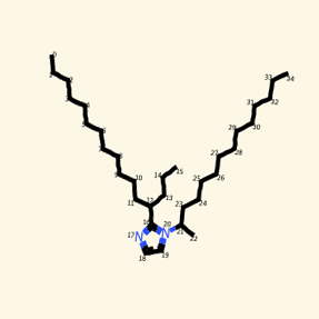 CCCCCCCCCCCCC(CCC)c1nccn1C(C)CCCCCCCCCCCC